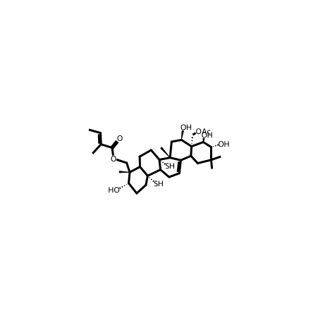 C/C=C(\C)C(=O)OC[C@]1(C)C2CC[C@]3(S)C(CC=C4C5CC(C)(C)[C@@H](O)[C@H](O)[C@]5(COC(C)=O)[C@H](O)C[C@]43C)[C@@]2(S)CC[C@@H]1O